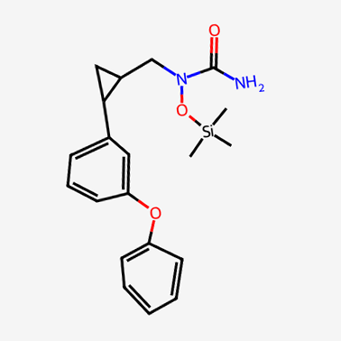 C[Si](C)(C)ON(CC1CC1c1cccc(Oc2ccccc2)c1)C(N)=O